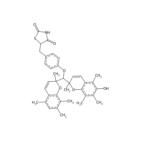 Cc1cc(C)c2c(c1C)OC(C)(C(Oc1ccc(CC3SC(=O)NC3=O)cc1)C1(C)C=Cc3c(C)c(O)c(C)c(C)c3O1)C=C2